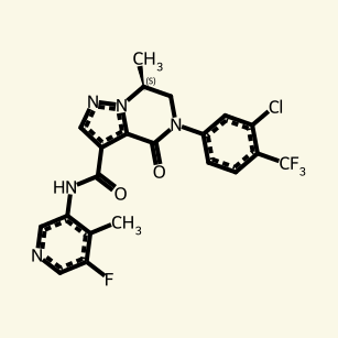 Cc1c(F)cncc1NC(=O)c1cnn2c1C(=O)N(c1ccc(C(F)(F)F)c(Cl)c1)C[C@@H]2C